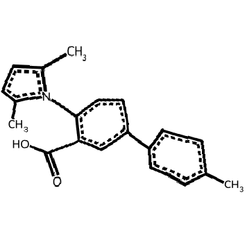 Cc1ccc(-c2ccc(-n3c(C)ccc3C)c(C(=O)O)c2)cc1